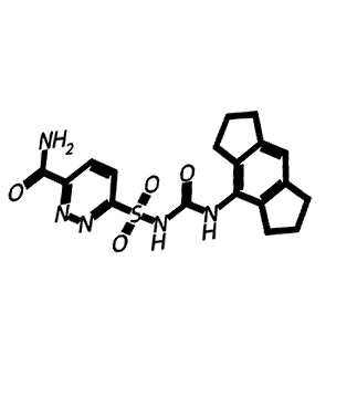 NC(=O)c1ccc(S(=O)(=O)NC(=O)Nc2c3c(cc4c2CCC4)CCC3)nn1